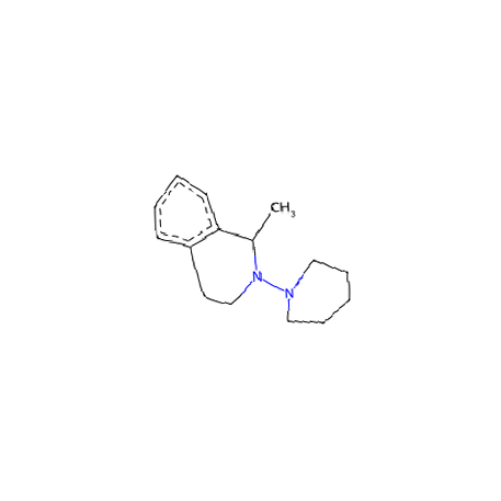 CC1c2ccccc2CCN1N1CCCCC1